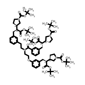 CC(C)(C)OC(=O)[C@@H](Cc1cccc(CCN(CCOc2cccc(C[C@H](C(=O)OC(C)(C)C)[C@H]3CCN(C(=O)OC(C)(C)C)C3)c2)C(=O)c2cccc(C[C@H](C(=O)OC(C)(C)C)[C@H]3CCN(C(=O)OC(C)(C)C)C3)c2)c1)[C@H]1CCN(C(=O)OC(C)(C)C)C1